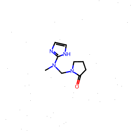 CN(CN1CCCC1=O)c1ncc[nH]1